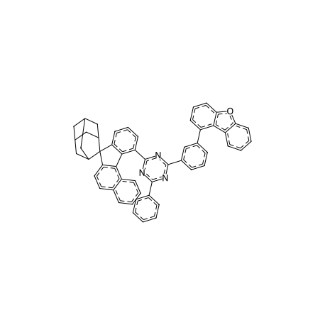 c1ccc(-c2nc(-c3cccc(-c4cccc5oc6ccccc6c45)c3)nc(-c3cccc4c3-c3c(ccc5ccccc35)C43C4CC5CC(C4)CC3C5)n2)cc1